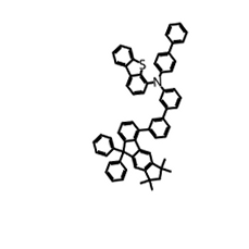 CC1(C)CC(C)(C)c2cc3c(cc21)-c1c(-c2cccc(-c4cccc(N(c5ccc(-c6ccccc6)cc5)c5cccc6c5sc5ccccc56)c4)c2)cccc1C3(c1ccccc1)c1ccccc1